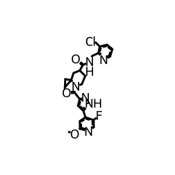 COc1cc(-c2cc(C(=O)N3CCC(C(=O)NCc4ncccc4Cl)CC34CC4)n[nH]2)c(F)cn1